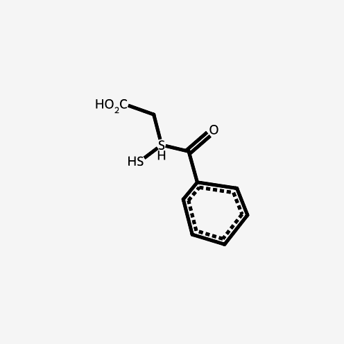 O=C(O)C[SH](S)C(=O)c1ccccc1